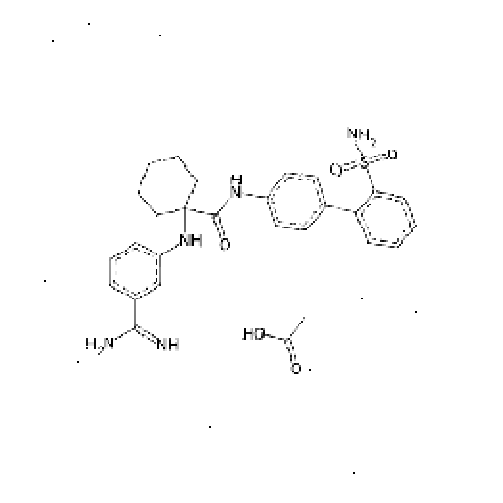 CC(=O)O.N=C(N)c1cccc(NC2(C(=O)Nc3ccc(-c4ccccc4S(N)(=O)=O)cc3)CCCCC2)c1